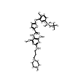 COc1nc(NCCCN2CCN(C)CC2)nc(OC)c1NC(=O)c1ccc(Oc2cc([Si](C)(C)CC(C)(C)C)ccc2C)o1